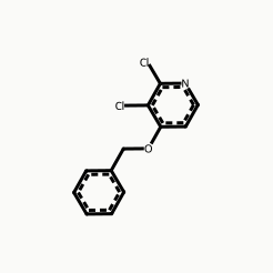 Clc1nccc(OCc2ccccc2)c1Cl